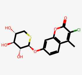 Cc1c(Cl)c(=O)oc2cc(O[C@@H]3SC[C@@H](O)[C@H](O)[C@H]3O)ccc12